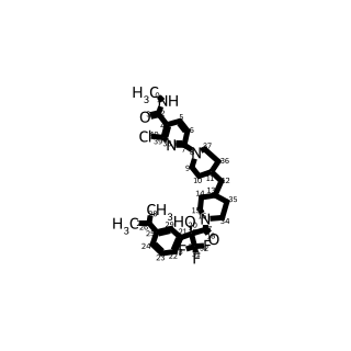 CNC(=O)c1ccc(N2CCC(CC3CCN(C(=O)[C@](O)(c4cccc(C(C)C)c4)C(F)(F)F)CC3)CC2)nc1Cl